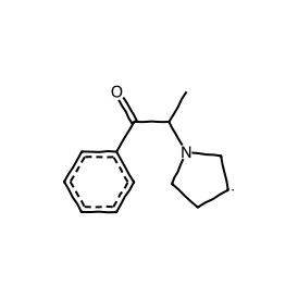 CC(C(=O)c1ccccc1)N1C[CH]CC1